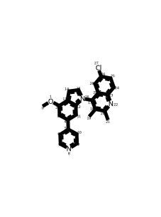 COc1cc(-c2ccncc2)cc2c1ccn2-c1c(C)c(C)nc2ccc(Cl)cc12